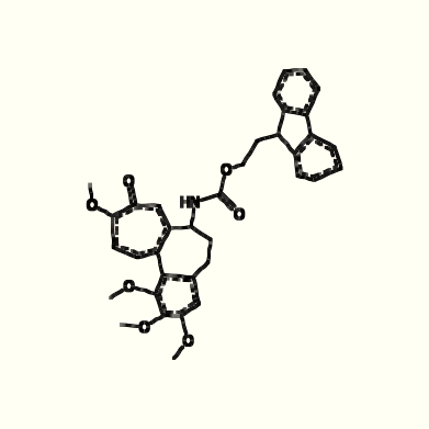 COc1cc2c(c(OC)c1OC)-c1ccc(OC)c(=O)cc1C(NC(=O)OCCC1c3ccccc3-c3ccccc31)CC2